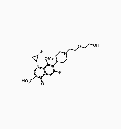 COc1c(N2CCN(CCOCCO)CC2)c(F)cc2c(=O)c(C(=O)O)cn([C@@H]3C[C@@H]3F)c12